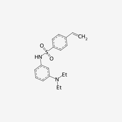 C=Cc1ccc(S(=O)(=O)Nc2cccc(N(CC)CC)c2)cc1